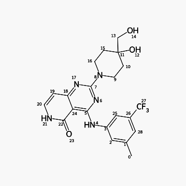 Cc1cc(Nc2nc(N3CCC(O)(CO)CC3)nc3cc[nH]c(=O)c23)cc(C(F)(F)F)c1